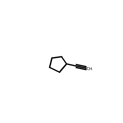 C#CC1[CH]CCC1